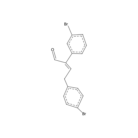 O=CC(=CCc1ccc(Br)cc1)c1cccc(Br)c1